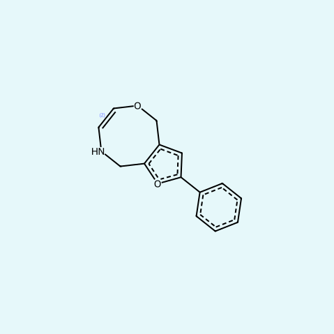 C1=C\OCc2cc(-c3ccccc3)oc2CN/1